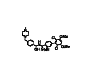 COc1cc(OC)c(Cl)c(-c2ccc3c(NC(O)c4ccc(CN5CCN(C)CC5)cc4)n[nH]c3c2)c1Cl